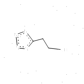 CC[CH]c1nnn[nH]1